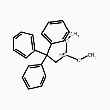 CO[SiH](CC(c1ccccc1)(c1ccccc1)c1ccccc1)OC